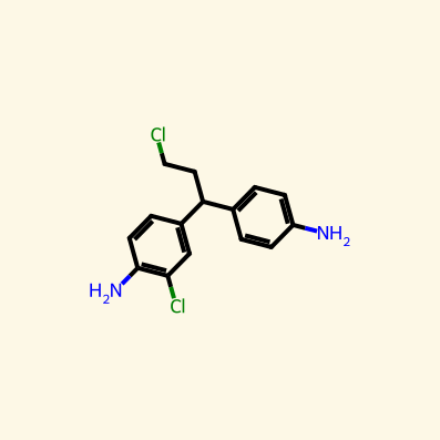 Nc1ccc(C(CCCl)c2ccc(N)c(Cl)c2)cc1